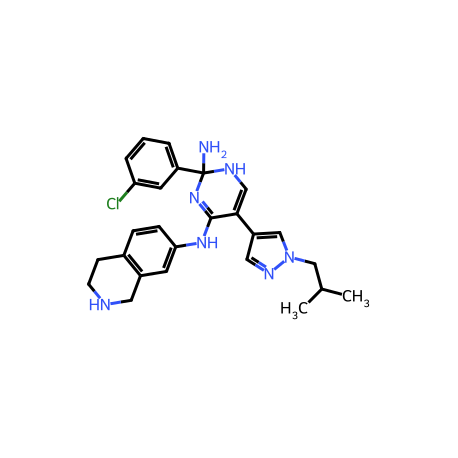 CC(C)Cn1cc(C2=CNC(N)(c3cccc(Cl)c3)N=C2Nc2ccc3c(c2)CNCC3)cn1